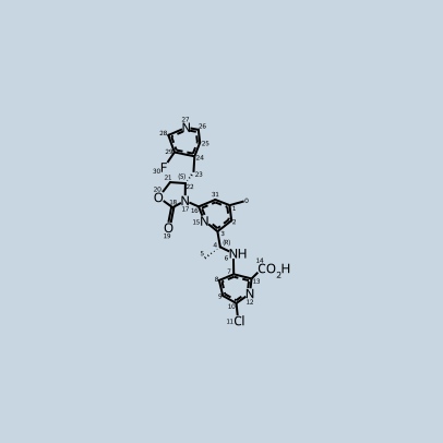 Cc1cc([C@@H](C)Nc2ccc(Cl)nc2C(=O)O)nc(N2C(=O)OC[C@@H]2Cc2ccncc2F)c1